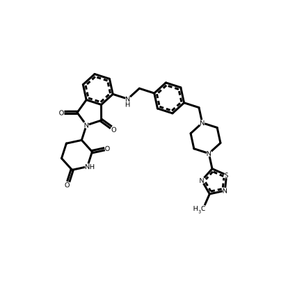 Cc1nsc(N2CCN(Cc3ccc(CNc4cccc5c4C(=O)N(C4CCC(=O)NC4=O)C5=O)cc3)CC2)n1